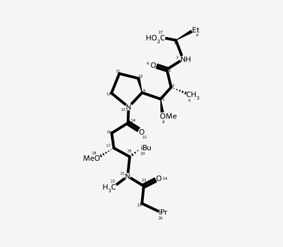 CC[C@@H](NC(=O)[C@H](C)[C@@H](OC)[C@@H]1CCCN1C(=O)C[C@@H](OC)C([C@@H](C)CC)N(C)C(=O)CC(C)C)C(=O)O